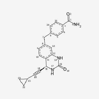 NC(=O)c1ccc(Cc2ccc3c(c2)NC(=O)N[C@H]3C#CC2CC2)cc1